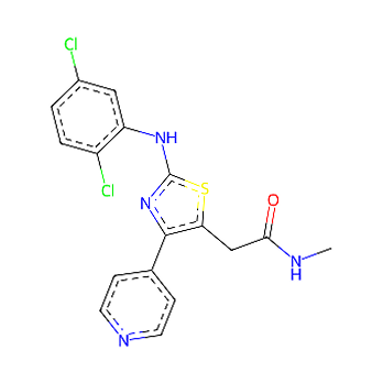 CNC(=O)Cc1sc(Nc2cc(Cl)ccc2Cl)nc1-c1ccncc1